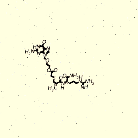 C[C@@H](CSCC(=O)OCCOCn1cnc2c(=O)[nH]c(N)nc21)C(=O)N[C@H](CCCNC(=N)N)C(N)=O